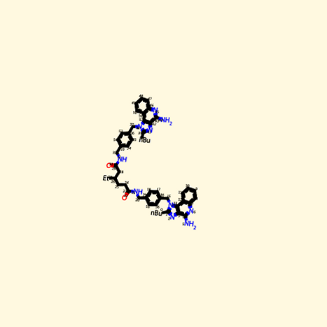 CCCCc1nc2c(N)nc3ccccc3c2n1Cc1ccc(CNC(=O)CCC(CC)CC(=O)NCc2ccc(Cn3c(CCCC)nc4c(N)nc5ccccc5c43)cc2)cc1